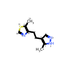 Cc1[nH]ncc1CCc1ncsc1C